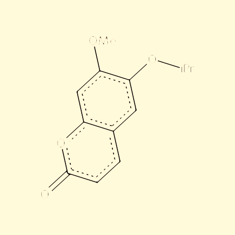 COc1cc2oc(=O)ccc2cc1OC(C)C